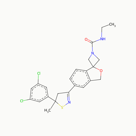 CCNC(=O)N1CC2(C1)OCc1cc(C3=NSC(C)(c4cc(Cl)cc(Cl)c4)C3)ccc12